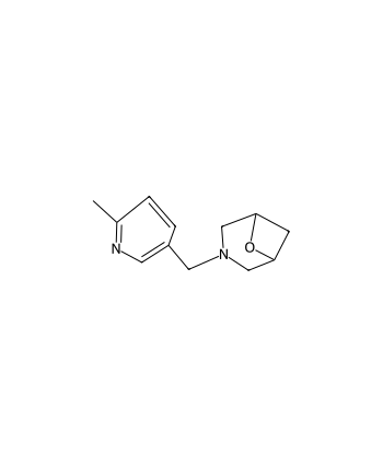 Cc1ccc(CN2CC3CC(C2)O3)cn1